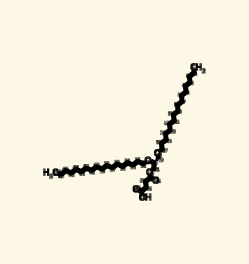 CCCCCCCCCCCCCCCCCCOC[C@H](COC(=O)CCC(=O)O)OCCCCCCCCCCCCCCCCCC